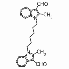 Cc1c(C=O)c2ccccc2n1CCCCCCn1c(C)c(C=O)c2ccccc21